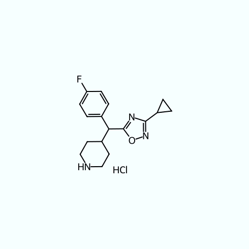 Cl.Fc1ccc(C(c2nc(C3CC3)no2)C2CCNCC2)cc1